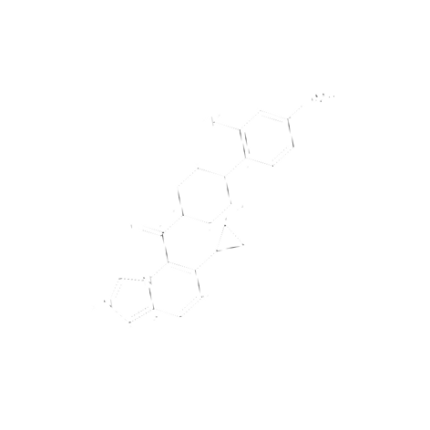 COc1ccc(C2CCC(C(=O)c3c(C4CC4)ccc4cncn34)CC2)c(Cl)c1